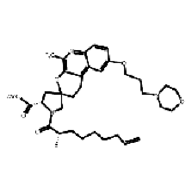 C=CCCCCC[C@H](C)C(=O)N1C[C@@]2(CCc3c(c(C(F)(F)F)nc4ccc(OCCCN5CCOCC5)cc34)O2)C[C@H]1C(=O)OC